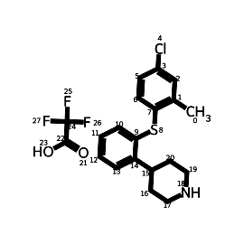 Cc1cc(Cl)ccc1Sc1ccccc1C1CCNCC1.O=C(O)C(F)(F)F